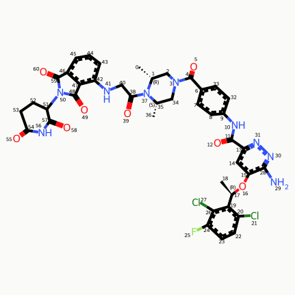 C[C@@H]1CN(C(=O)c2ccc(NC(=O)c3cc(O[C@H](C)c4c(Cl)ccc(F)c4Cl)c(N)nn3)cc2)C[C@H](C)N1C(=O)CNc1cccc2c1C(=O)N(C1CCC(=O)NC1=O)C2=O